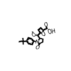 CO[C@@H](c1ccc(C(=O)O)o1)C1CCC(=O)N1c1ccc(C(C)(C)C)cc1